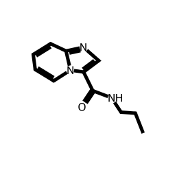 CCCNC(=O)c1cnc2ccccn12